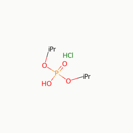 CC(C)OP(=O)(O)OC(C)C.Cl